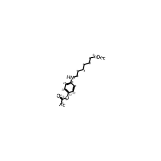 CCCCCCCCCCCCCCCCNc1ccc(OC(=O)C(C)=O)cc1